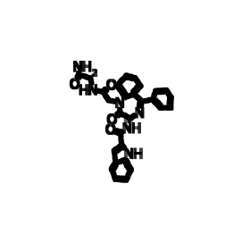 NC(=O)CNC(=O)CN1C(=O)[C@@H](NC(=O)c2cc3ccccc3[nH]2)N=C(c2ccccc2)c2ccccc21